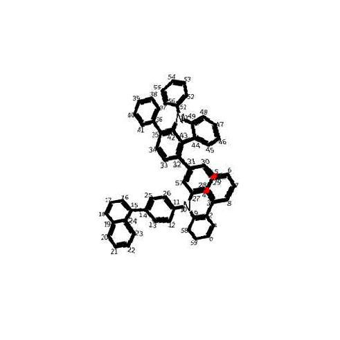 C1=CC(c2ccccc2)=C(N(c2ccc(-c3cccc4ccccc34)cc2)c2cccc(-c3ccc(-c4ccccc4)c4c3c3ccccc3n4-c3ccccc3)c2)CC1